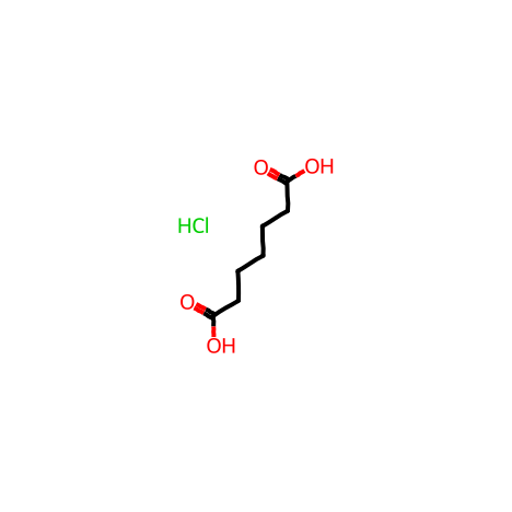 Cl.O=C(O)CCCCCC(=O)O